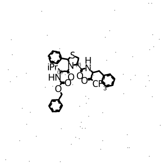 CC(C)[C@H](NC(=O)OCc1ccccc1)C(=O)N1C(c2ccccc2)SC[C@H]1C(=O)NC(Cc1ccccc1)C(=O)C(F)(F)F